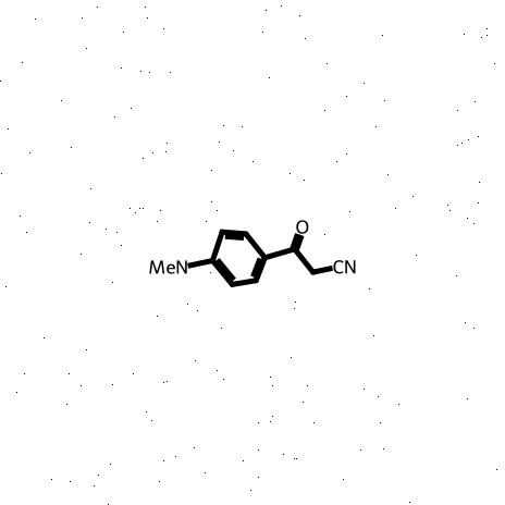 CNc1ccc(C(=O)CC#N)cc1